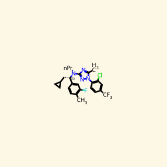 CCCN(c1nc(C)n(-c2ccc(C(F)(F)F)cc2Cl)n1)[C@@H](CC1CC1)c1ccc(C)c(F)c1